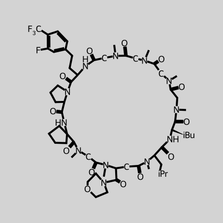 CC[C@H](C)C1NC(=O)C(CC(C)C)N(C)C(=O)CC(C(=O)N2CCOCC2)N(C)C(=O)CN(C)C(=O)C2(CCCC2)NC(=O)C2CCCN2C(=O)C(CCc2ccc(C(F)(F)F)c(F)c2)NC(=O)CN(C)C(=O)CN(C)C(=O)CN(C)C(=O)CN(C)C1=O